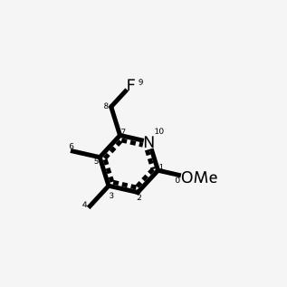 COc1cc(C)c(C)c(CF)n1